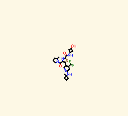 CC1CCCN1C(=O)c1nc(C(=O)NC2CC(O)C2)sc1-c1cnc(NC2(C)CCC2)cc1C(F)F